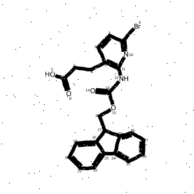 O=C(O)CCc1ccc(Br)nc1NC(=O)OCC1c2ccccc2-c2ccccc21